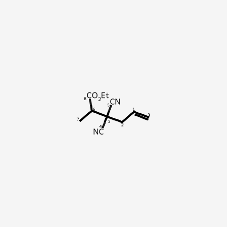 C=CCC(C#N)(C#N)C(C)C(=O)OCC